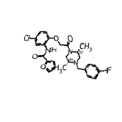 C[C@@H]1CN(C(=O)COc2ccc(Cl)cc2NC(=O)c2ccco2)[C@@H](C)CN1Cc1ccc(F)cc1